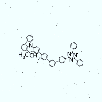 CC1(C)c2cc(-c3ccc(-c4cccc(-c5ccc(-c6nc(-c7ccccc7)nc(-c7ccccc7)n6)cc5)c4)cc3)ccc2-n2c3ccccc3c3cccc1c32